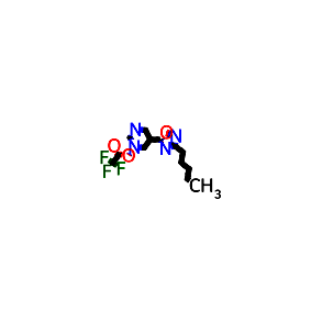 CCCCCc1noc(C2CN=CN(OC(=O)C(F)(F)F)C2)n1